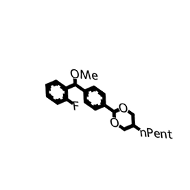 CCCCCC1COC(c2ccc(C(OC)c3ccccc3F)cc2)OC1